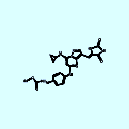 CC(C)(C)OC(=O)NCc1ccc(Nc2cc(NC3CC3)n3ncc(/C=C4\NC(=O)NC4=O)c3n2)cc1